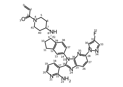 C=CC(=O)N1CCC(N[C@H]2CCc3cc(-n4c(-c5cccnc5N)nc5ccc(-n6cc(F)cn6)nc54)ccc32)CC1